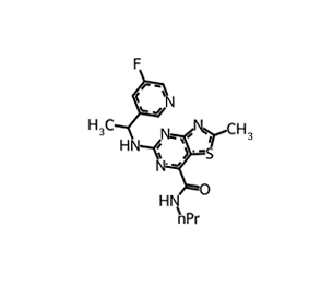 CCCNC(=O)c1nc(NC(C)c2cncc(F)c2)nc2nc(C)sc12